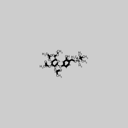 COC(=O)[C@H]1O[C@@H](Oc2ccc(CO[Si](C)(C)C(C)(C)C)c(O)c2)[C@H](OC(C)=O)[C@@H](OC(C)=O)[C@@H]1OC(C)=O